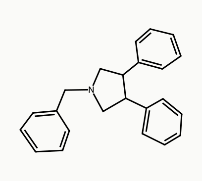 c1ccc(CN2CC(c3ccccc3)C(c3ccccc3)C2)cc1